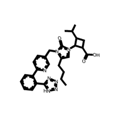 CCCCc1cn(C2C(C(=O)O)CC2C(C)C)c(=O)n1Cc1ccc(-c2ccccc2-c2nnn[nH]2)nc1